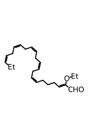 CC/C=C\C/C=C\C/C=C\C/C=C\C/C=C\CCC/C=C(/C=O)OCC